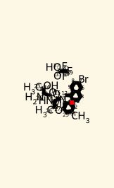 COc1ccc2cc(Br)ccc2c1CN1C(=O)[C@@H](NC(=O)[C@@H](N)[C@H](C)O)[C@H](C)Oc2cc(C)ccc21.O=C(O)C(F)(F)F